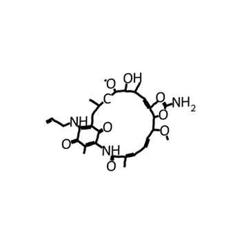 C=CCNC1=C2CC(C)CC(OC)C(O)C(C)C=C(C)C(OC(N)=O)C(OC)C=CC=C(C)C(=O)NC(=C(C)C1=O)C2=O